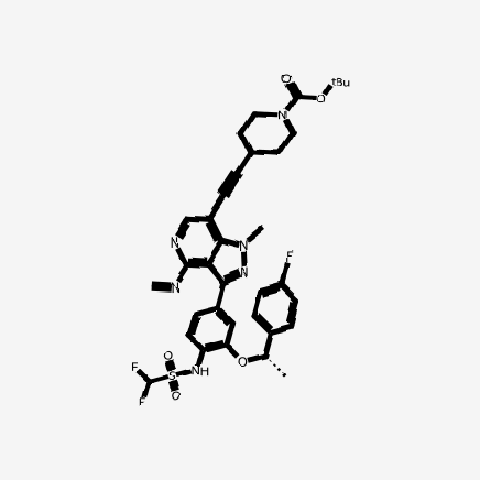 C=Nc1ncc(C#CC2CCN(C(=O)OC(C)(C)C)CC2)c2c1c(-c1ccc(NS(=O)(=O)C(F)F)c(O[C@@H](C)c3ccc(F)cc3)c1)nn2C